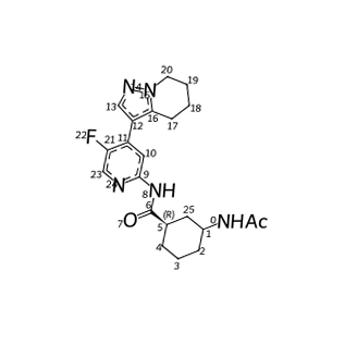 CC(=O)NC1CCC[C@@H](C(=O)Nc2cc(-c3cnn4c3CCCC4)c(F)cn2)C1